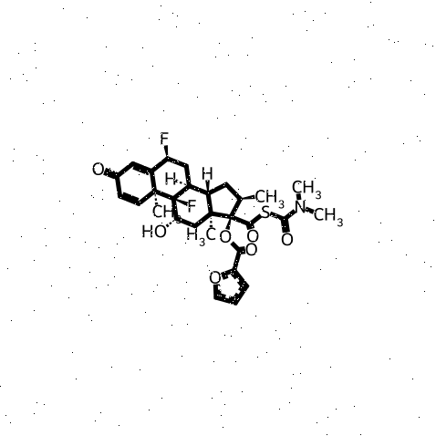 C[C@@H]1C[C@H]2[C@@H]3C[C@H](F)C4=CC(=O)C=C[C@]4(C)[C@@]3(F)[C@@H](O)C[C@]2(C)[C@@]1(OC(=O)c1ccco1)C(=O)SC(=O)N(C)C